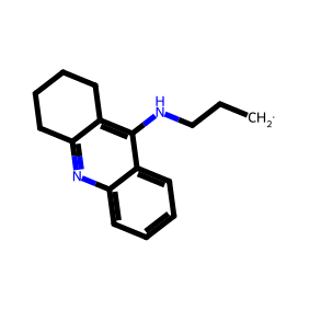 [CH2]CCNc1c2c(nc3ccccc13)CCCC2